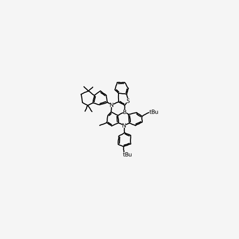 Cc1cc2c3c(c1)N(c1ccc4c(c1)C(C)(C)CCC4(C)C)c1c(sc4ccccc14)B3c1cc(C(C)(C)C)ccc1N2c1ccc(C(C)(C)C)cc1